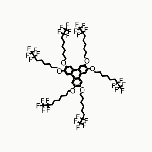 FC(F)(F)C(F)(F)CCCCCCOc1cc2c3cc(OCCCCCCC(F)(F)C(F)(F)F)c(OCCCCCCC(F)(F)C(F)(F)F)cc3c3cc(OCCCCCCC(F)(F)C(F)(F)F)c(OCCCCCCC(F)(F)C(F)(F)F)cc3c2cc1OCCCCCCC(F)(F)C(F)(F)F